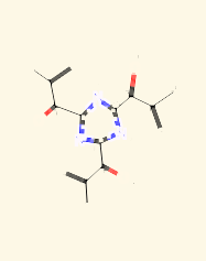 C=C(C)C(=O)c1nc(C(=O)C(=C)C)nc(C(=O)C(=C)C)n1